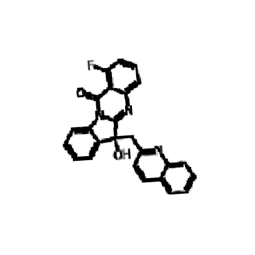 O=c1c2c(F)cccc2nc2n1-c1ccccc1C2(O)Cc1ccc2ccccc2n1